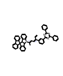 C=C/C(=C\C=C(/C)N1c2ccccc2C2C1c1ccccc1C21c2ccccc2-c2ccccc21)c1cccc(-c2nc(-c3ccccc3)nc(-c3ccccc3)n2)c1